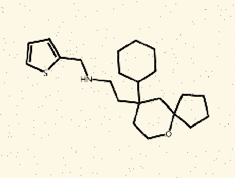 c1csc(CNCCC2(C3CCCCC3)CCOC3(CCCC3)C2)c1